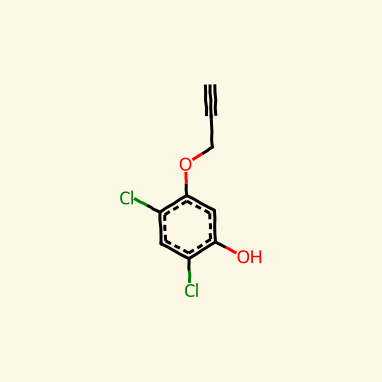 C#CCOc1cc(O)c(Cl)cc1Cl